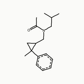 CC(=O)N(CC(C)C)CC1CC1(C)c1ccccc1